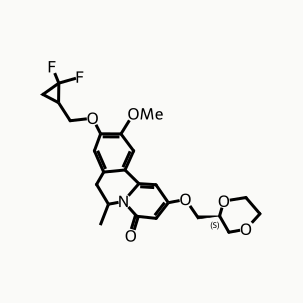 COc1cc2c(cc1OCC1CC1(F)F)CC(C)n1c-2cc(OC[C@@H]2COCCO2)cc1=O